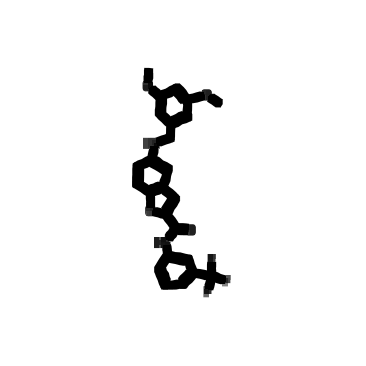 COc1cc(CNc2ccc3oc(C(=O)Nc4cccc(C(F)(F)F)c4)cc3c2)cc(OC)c1